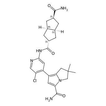 CC1(C)Cc2c(-c3cc(NC(=O)[C@@H]4C[C@H]5C[C@@H](C(N)=O)C[C@H]5C4)ncc3Cl)cc(C(N)=O)n2C1